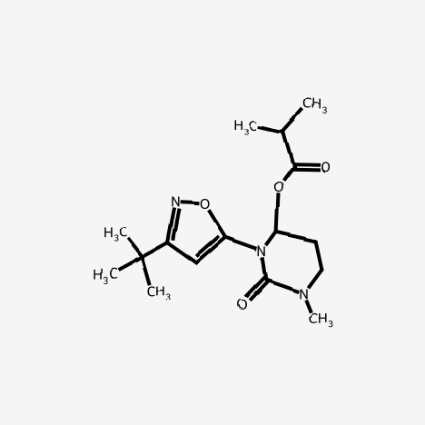 CC(C)C(=O)OC1CCN(C)C(=O)N1c1cc(C(C)(C)C)no1